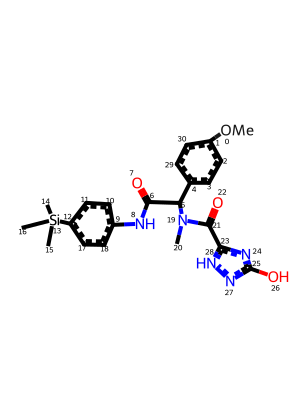 COc1ccc(C(C(=O)Nc2ccc([Si](C)(C)C)cc2)N(C)C(=O)c2nc(O)n[nH]2)cc1